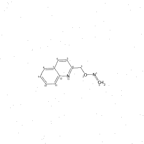 C=NOCc1ccc2ccccc2n1